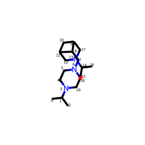 CC(C)N1CCN(CC2C3CC2CN(C(C)C)C3)CC1